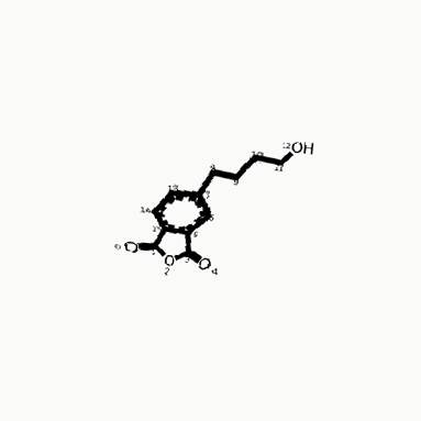 O=C1OC(=O)c2cc(CCCCO)ccc21